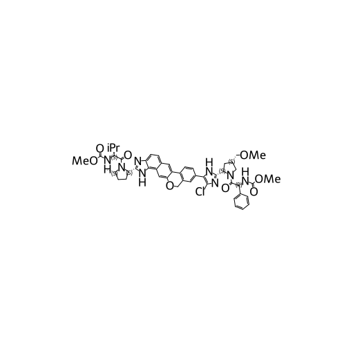 COC[C@H]1C[C@@H](c2nc(Cl)c(-c3ccc4c(c3)COc3cc5c(ccc6nc([C@@H]7CC[C@H](C)N7C(=O)[C@@H](NC(=O)OC)C(C)C)[nH]c65)cc3-4)[nH]2)N(C(=O)[C@H](NC(=O)OC)c2ccccc2)C1